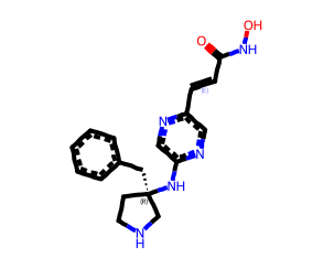 O=C(/C=C/c1cnc(N[C@]2(Cc3ccccc3)CCNC2)cn1)NO